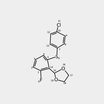 Fc1cccc(Sc2ccc(Cl)cc2)c1C1OCCO1